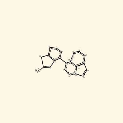 CC1=Cc2c(cccc2-c2ccc3c4c(cccc24)C=C3)[CH]1